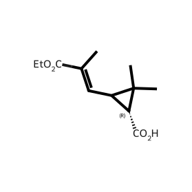 CCOC(=O)C(C)=CC1[C@@H](C(=O)O)C1(C)C